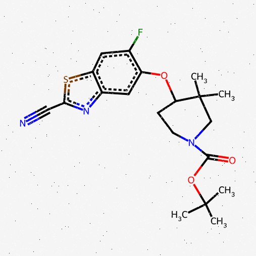 CC(C)(C)OC(=O)N1CCC(Oc2cc3nc(C#N)sc3cc2F)C(C)(C)C1